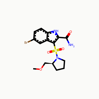 COC[C@@H]1CCCN1S(=O)(=O)c1c(C(N)=O)[nH]c2ccc(Br)cc12